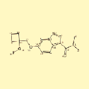 CC(I)C(=O)c1cnn2cc(OCC3(OI)CCC3)ccc12